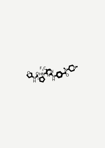 CN1CCC(N(C)C(=O)c2ccc(Nc3ncc(C(F)(F)F)c(N[C@@H]4CCC[C@@H]4C(=O)NC4CCOC4)n3)cc2)CC1